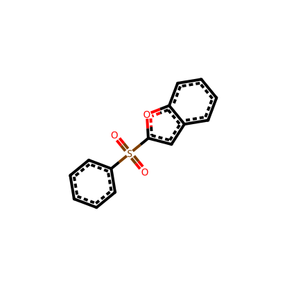 O=S(=O)(c1ccccc1)c1cc2ccccc2o1